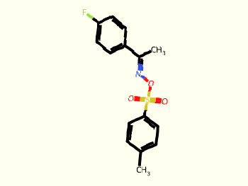 C/C(=N\OS(=O)(=O)c1ccc(C)cc1)c1ccc(F)cc1